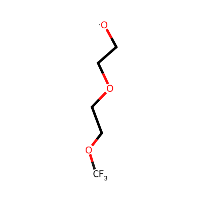 [O]CCOCCOC(F)(F)F